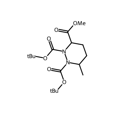 COC(=O)C1CCC(C)N(C(=O)OC(C)(C)C)N1C(=O)OC(C)(C)C